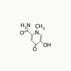 Cn1cc(O)c(=O)cc1C(N)=O